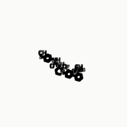 CSc1ccc(NC(=O)NC2CCCN(c3ccc(-c4ccccc4S(C)(=O)=O)cc3F)C2=O)cc1